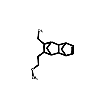 CCC1C(CCOC)C2CC1C1C3C=CC(C3)C21